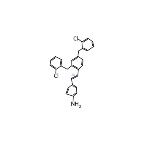 Nc1ccc(/C=C/c2ccc(Cc3ccccc3Cl)cc2Cc2ccccc2Cl)cc1